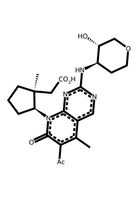 CC(=O)c1c(C)c2cnc(N[C@@H]3CCOC[C@H]3O)nc2n([C@H]2CCC[C@@]2(C)CC(=O)O)c1=O